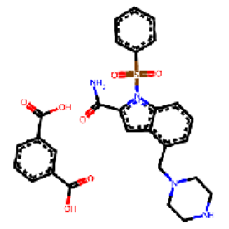 NC(=O)c1cc2c(CN3CCNCC3)cccc2n1S(=O)(=O)c1ccccc1.O=C(O)c1cccc(C(=O)O)c1